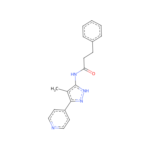 Cc1c(-c2ccncc2)n[nH]c1NC(=O)CCc1ccccc1